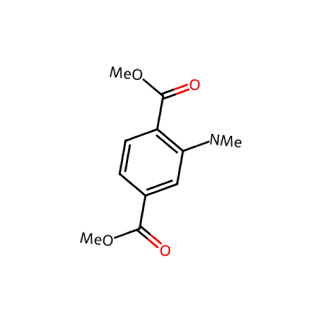 CNc1cc(C(=O)OC)ccc1C(=O)OC